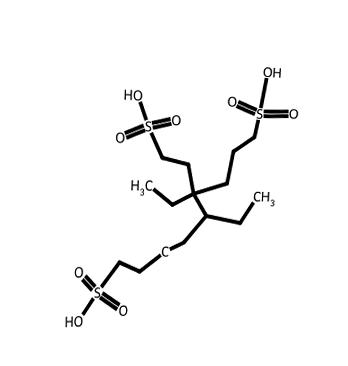 CC[C](CCCCS(=O)(=O)O)C(CC)(CCCS(=O)(=O)O)CCS(=O)(=O)O